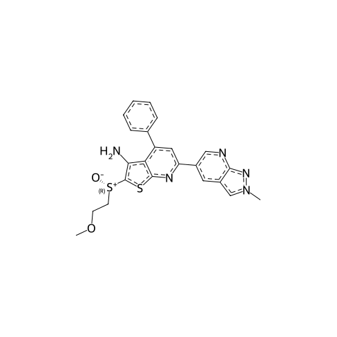 COCC[S@+]([O-])c1sc2nc(-c3cnc4nn(C)cc4c3)cc(-c3ccccc3)c2c1N